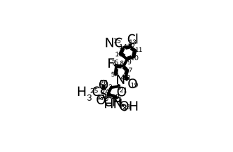 CC(CCn1cc(F)c(-c2ccc(Cl)c(C#N)c2)cc1=O)(C(=O)NO)S(C)(=O)=O